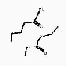 CCCCC(=O)O.CCOC(=O)CC